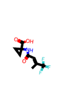 C/C(=C\C(=O)NC1(C(=O)O)CC1)C(F)(F)F